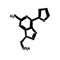 Nc1nc(-c2ccco2)c2nnn(CC(=O)O)c2n1